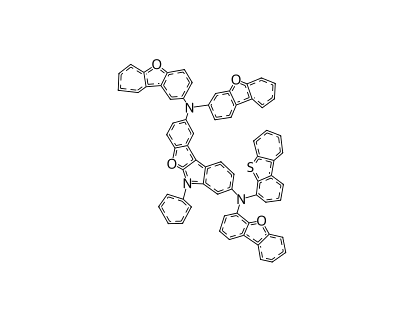 c1ccc(-n2c3cc(N(c4cccc5c4oc4ccccc45)c4cccc5c4sc4ccccc45)ccc3c3c4cc(N(c5ccc6c(c5)oc5ccccc56)c5ccc6oc7ccccc7c6c5)ccc4oc32)cc1